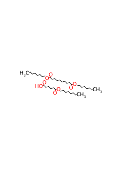 CCCCCCCCOC(=O)CCCCC(=O)O.CCCCCCCCOC(=O)CCCCCCCCC(=O)OCCCCCCCC